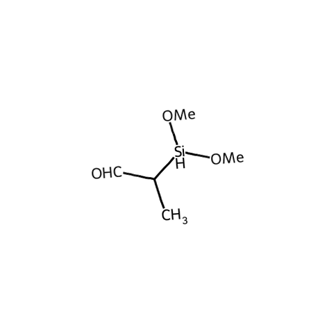 CO[SiH](OC)C(C)C=O